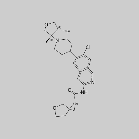 C[C@@]1(N2CCC(c3cc4cc(NC(=O)[C@@H]5CC56CCOC6)ncc4cc3Cl)CC2)COC[C@@H]1F